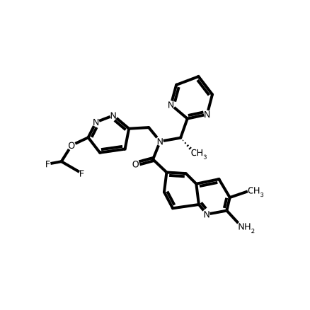 Cc1cc2cc(C(=O)N(Cc3ccc(OC(F)F)nn3)[C@@H](C)c3ncccn3)ccc2nc1N